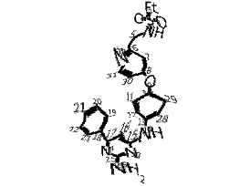 CCS(=O)(=O)NCc1cc(Oc2ccc(Nc3cc(-c4ccccc4)nc(N)n3)cc2)ccn1